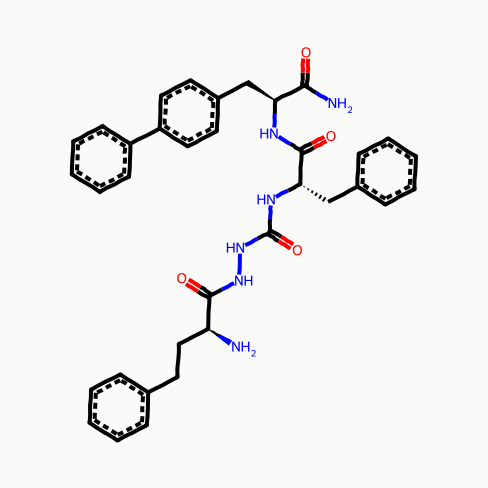 NC(=O)[C@H](Cc1ccc(-c2ccccc2)cc1)NC(=O)[C@H](Cc1ccccc1)NC(=O)NNC(=O)[C@@H](N)CCc1ccccc1